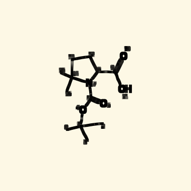 CC(C)(C)OC(=O)N1C(C(=O)O)CCC1(C)C